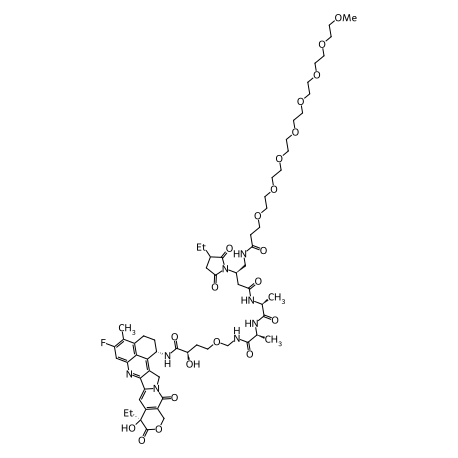 CCC1CC(=O)N([C@@H](CNC(=O)CCOCCOCCOCCOCCOCCOCCOCCOC)CC(=O)N[C@@H](C)C(=O)N[C@@H](C)C(=O)NCOCC[C@@H](O)C(=O)N[C@H]2CCc3c(C)c(F)cc4nc5c(c2c34)Cn2c-5cc3c(c2=O)COC(=O)[C@]3(O)CC)C1=O